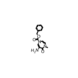 CN1C=CN(C(=O)OCc2ccccc2)C=C(N)C1=O